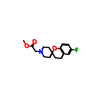 COC(=O)CN1CCC2(CCc3cc(F)ccc3O2)CC1